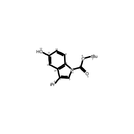 CC(C)c1cn(C(=O)OC(C)(C)C)c2ccc(O)cc12